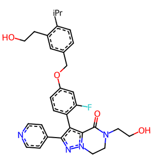 CC(C)c1ccc(COc2ccc(-c3c(-c4ccncc4)nn4c3C(=O)N(CCO)CC4)c(F)c2)cc1CCO